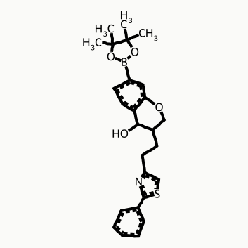 CC1(C)OB(c2ccc3c(c2)OCC(CCc2csc(-c4ccccc4)n2)C3O)OC1(C)C